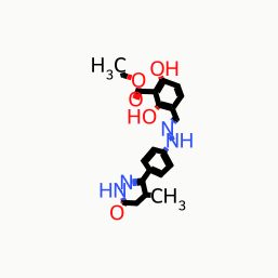 CCOC(=O)c1c(O)ccc(/C=N/Nc2ccc(C3=NNC(=O)CC3C)cc2)c1O